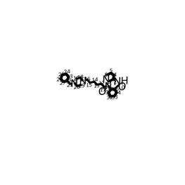 O=C1Nc2cccnc2N(C(=O)CCCCCN2CCN(Cc3ccccc3)CC2)c2ccccc21